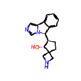 O[C@@H]1[C@@H]([C@@H]2c3ccccc3-c3cncn32)CCC12CNC2